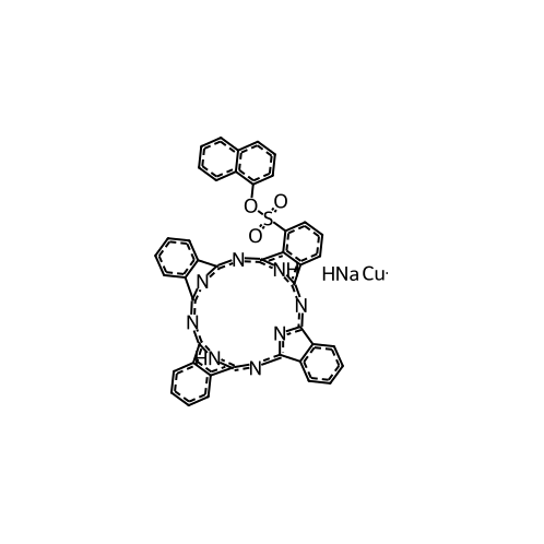 O=S(=O)(Oc1cccc2ccccc12)c1cccc2c3nc4nc(nc5[nH]c(nc6nc(nc([nH]3)c12)-c1ccccc1-6)c1ccccc51)-c1ccccc1-4.[Cu].[NaH]